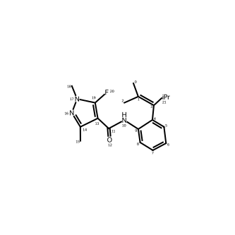 CC(C)=C(c1ccccc1NC(=O)c1c(C)nn(C)c1F)C(C)C